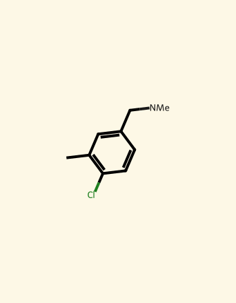 CNCc1ccc(Cl)c(C)c1